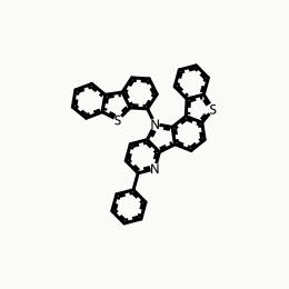 c1ccc(-c2ccc3c(n2)c2ccc4sc5ccccc5c4c2n3-c2cccc3c2sc2ccccc23)cc1